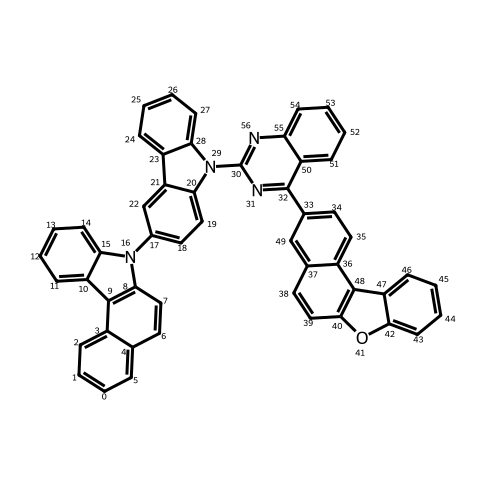 c1ccc2c(c1)ccc1c2c2ccccc2n1-c1ccc2c(c1)c1ccccc1n2-c1nc(-c2ccc3c(ccc4oc5ccccc5c43)c2)c2ccccc2n1